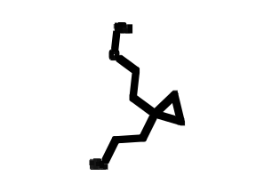 CC(C)(C)CCC1(CCOC(C)(C)C)CC1